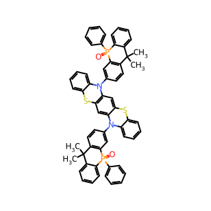 CC1(C)c2ccccc2P(=O)(c2ccccc2)c2cc(-n3c4ccccc4sc4cc5c(cc43)sc3ccccc3n5-c3ccc4c(c3)P(=O)(c3ccccc3)c3ccccc3C4(C)C)ccc21